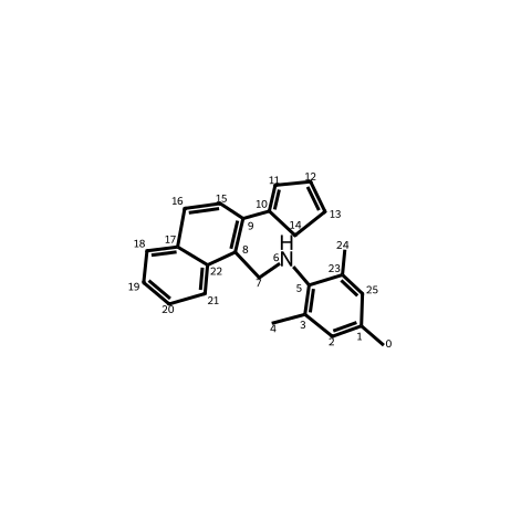 Cc1cc(C)c(NCc2c(C3=CC=CC3)ccc3ccccc23)c(C)c1